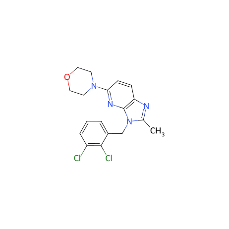 Cc1nc2ccc(N3CCOCC3)nc2n1Cc1cccc(Cl)c1Cl